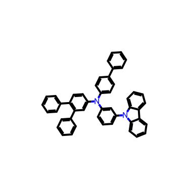 c1ccc(-c2ccc(N(c3cccc(-n4c5ccccc5c5ccccc54)c3)c3ccc(-c4ccccc4)c(-c4ccccc4)c3)cc2)cc1